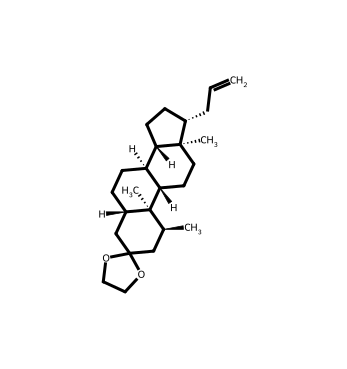 C=CC[C@H]1CC[C@H]2[C@@H]3CC[C@H]4CC5(C[C@H](C)[C@]4(C)[C@H]3CC[C@]12C)OCCO5